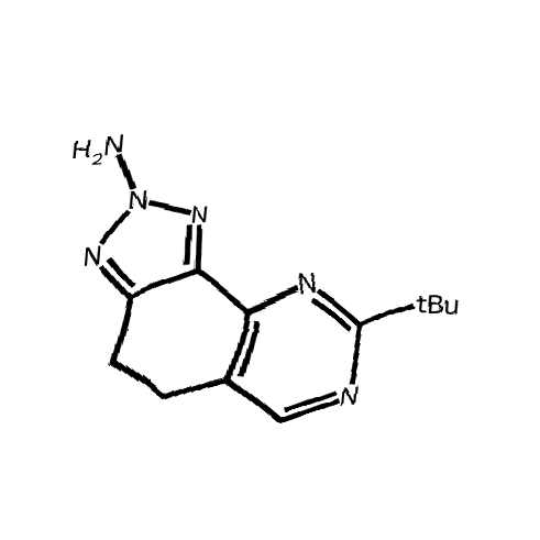 CC(C)(C)c1ncc2c(n1)-c1nn(N)nc1CC2